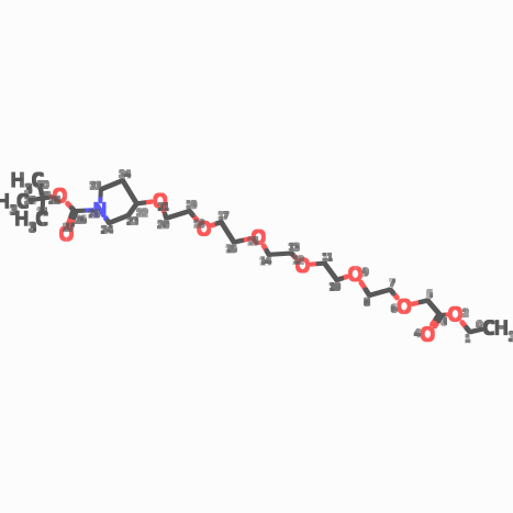 CCOC(=O)COCCOCCOCCOCCOCCOC1CCN(C(=O)OC(C)(C)C)CC1